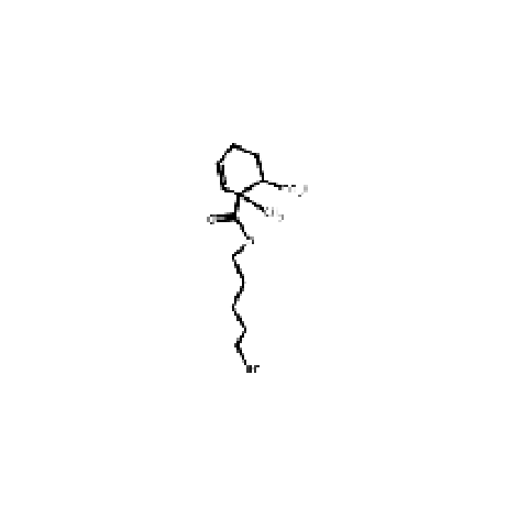 CC(C)CCCCCOC(=O)C1(C)C=CCCC1C(=O)O